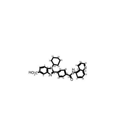 O=C(O)c1ccc2c(c1)nc(-c1ccc(C(=O)Nc3cccc4ncccc34)cc1)n2C1CCCCC1